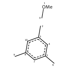 COC.Cc1cc(C)cc(C)c1